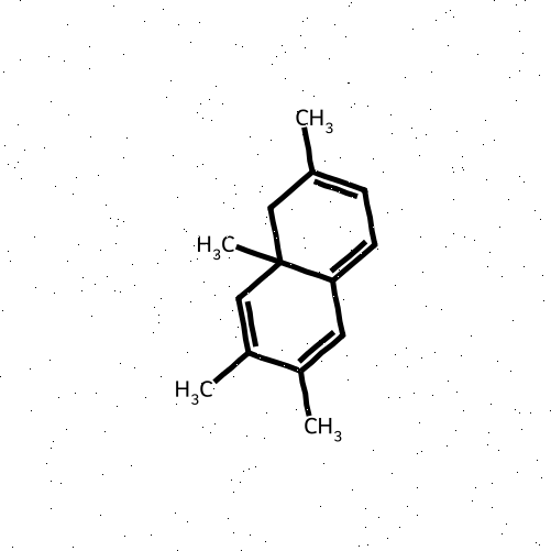 CC1=CC=C2C=C(C)C(C)=CC2(C)C1